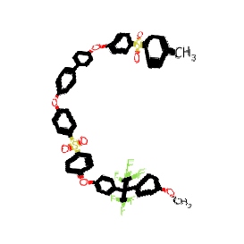 COc1ccc(C(c2ccc(Oc3ccc(S(=O)(=O)c4ccc(Oc5ccc(-c6ccc(Oc7ccc(S(=O)(=O)c8ccc(C)cc8)cc7)cc6)cc5)cc4)cc3)cc2)(C(F)(F)F)C(F)(F)F)cc1